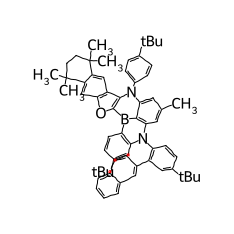 Cc1cc2c3c(c1)N(c1ccc(C(C)(C)C)cc1)c1c(oc4cc5c(cc14)C(C)(C)CCC5(C)C)B3c1ccc(C(C)(C)C)cc1N2c1ccc(C(C)(C)C)cc1-c1ccc2ccccc2c1